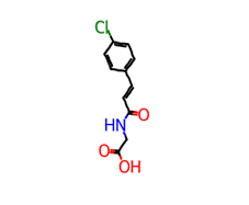 O=C(O)CNC(=O)/C=C/c1ccc(Cl)cc1